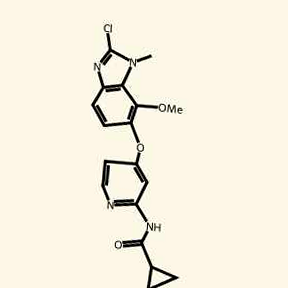 COc1c(Oc2ccnc(NC(=O)C3CC3)c2)ccc2nc(Cl)n(C)c12